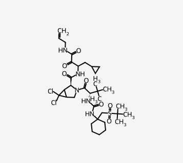 C=CCNC(=O)C(=O)C(CC1CC1)NC(=O)[C@@H]1C2C(CN1C(=O)[C@@H](NC(=O)NC1(CS(=O)(=O)C(C)(C)C)CCCCC1)C(C)(C)C)C2(Cl)Cl